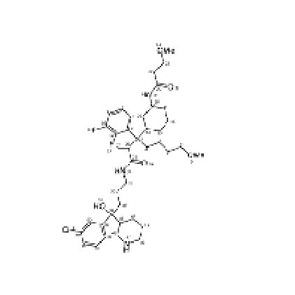 COCCCCC(c1cccc(F)c1F)(C1CCCN(NC(=O)CCOC)C1)C(C)C(=O)NCCCC(O)(c1cccc(Cl)c1)C1CCCNC1